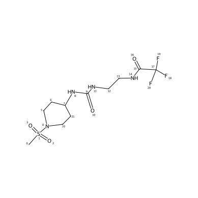 CS(=O)(=O)N1CCC(NC(=O)NCCNC(=O)C(F)(F)F)CC1